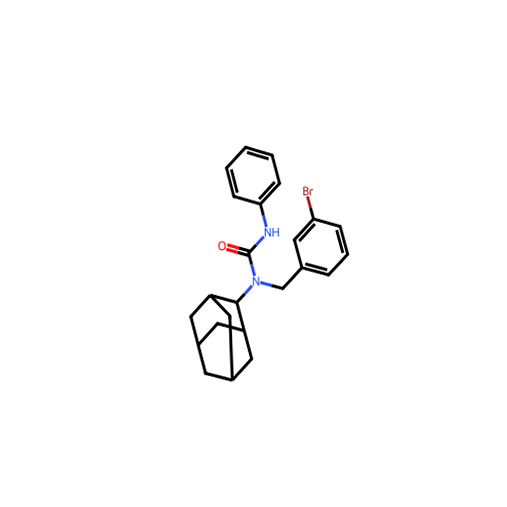 O=C(Nc1ccccc1)N(Cc1cccc(Br)c1)C1C2CC3CC(C2)CC1C3